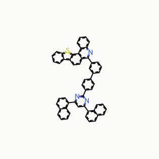 c1cc(-c2ccc(-c3nc(-c4cccc5ccccc45)cc(-c4cccc5ccccc45)n3)cc2)cc(-c2nc3ccccc3c3c2ccc2c4ccccc4sc23)c1